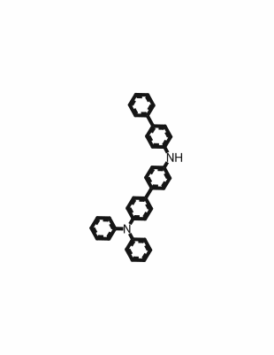 c1ccc(-c2ccc(Nc3ccc(-c4ccc(N(c5ccccc5)c5ccccc5)cc4)cc3)cc2)cc1